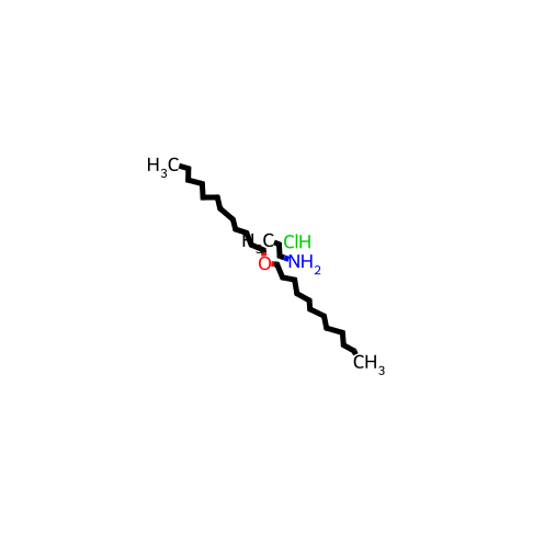 CCCCCCCCCCCCOCCCCCCCCCCCC.CCCN.Cl